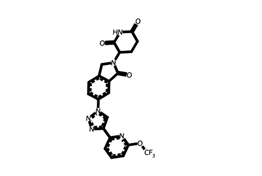 O=C1CCC(N2Cc3ccc(-n4cc(-c5cccc(OC(F)(F)F)n5)nn4)cc3C2=O)C(=O)N1